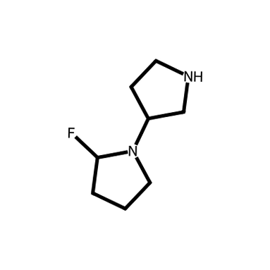 FC1CCCN1C1CCNC1